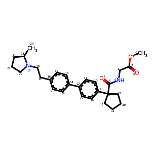 COC(=O)CNC(=O)C1(c2ccc(-c3ccc(CCN4CCCC4C)cc3)cc2)CCCC1